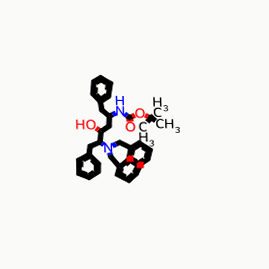 CC(C)(C)OC(=O)NC(Cc1ccccc1)CC(O)C(Cc1ccccc1)N(Cc1ccccc1)Cc1ccccc1